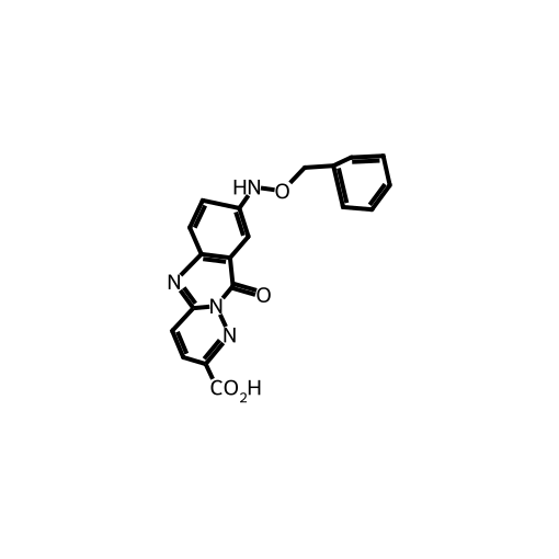 O=C(O)c1ccc2nc3ccc(NOCc4ccccc4)cc3c(=O)n2n1